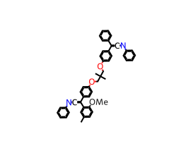 COc1ccc(C)cc1C(=C=Nc1ccccc1)c1ccc(OCC(C)(C)COc2ccc(C(=C=Nc3ccccc3)c3ccccc3)cc2)cc1